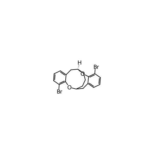 Brc1cccc2c1OC1CCC[C@H](C2)Oc2c(Br)cccc2C1